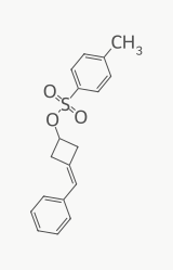 Cc1ccc(S(=O)(=O)OC2CC(=Cc3ccccc3)C2)cc1